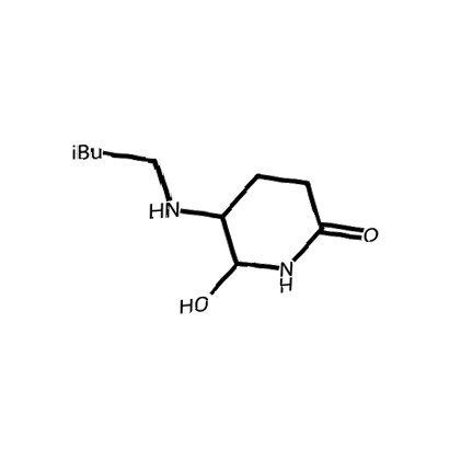 CCC(C)CNC1CCC(=O)NC1O